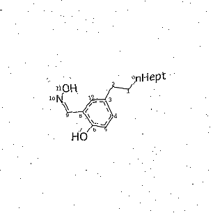 CCCCCCCCCc1ccc(O)c(/C=N\O)c1